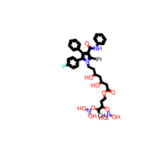 CC(C)c1c(C(=O)Nc2ccccc2)c(-c2ccccc2)c(-c2ccc(F)cc2)n1CCC(O)CC(O)CC(=O)OCCC(ON(O)O)C(C)ON(O)O